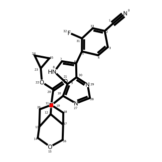 N#Cc1ccc(-c2c[nH]c3c(OC4C5COCC4CN(C(=O)OC4CC4)C5)ncnc23)c(F)c1